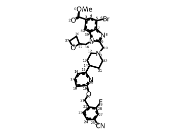 COC(=O)c1cc(Br)c2nc(CN3CCC(c4cccc(OCc5ccc(C#N)cc5F)n4)CC3)n(CC3CCO3)c2c1